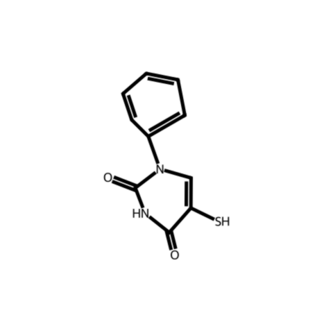 O=c1[nH]c(=O)n(-c2ccccc2)cc1S